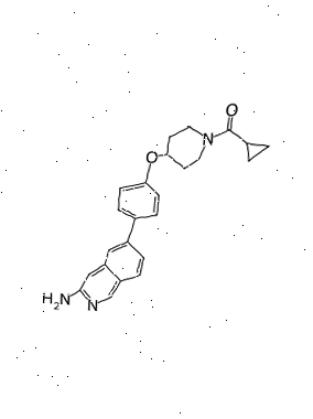 Nc1cc2cc(-c3ccc(OC4CCN(C(=O)C5CC5)CC4)cc3)ccc2cn1